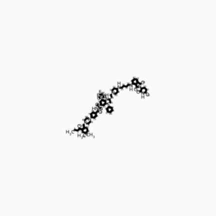 C=C(CCC)C1=C(CN2CCN(c3ccc(C(=O)NS(=O)(=O)c4ccc(N[C@H](CCN5CCC(NCCCCNc6cccc7c6C(=O)N(C6CCC(=O)NC6=O)C7=O)CC5)CSc5ccccc5)c(S(=O)(=O)C(F)(F)F)c4)cc3)CC2)CCC(C)(C)C1